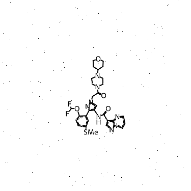 CSc1ccc(OC(F)F)c(-c2nn(CC(=O)N3CCN(C4CCOCC4)CC3)cc2NC(=O)c2cnn3cccnc23)c1